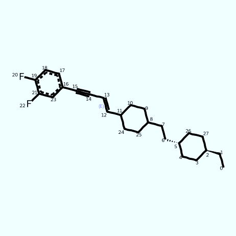 CC[C@H]1CC[C@H](CCC2CCC(/C=C/C#Cc3ccc(F)c(F)c3)CC2)CC1